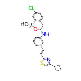 O=C(Cc1ccc(Cl)cc1C(=O)O)Nc1cccc(C=Cc2nc(C3CCC3)cs2)c1